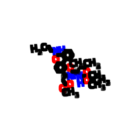 C=CCNC(=O)c1cccc(C)c1-c1cccc([C@H](CC(=O)OC)NC(=O)[C@H](CC=C)NC(=O)OC(C)(C)C)c1